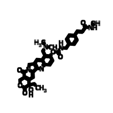 CC[C@@]1(O)C(=O)OCc2c1cc1n(c2=O)Cc2cc3c(CN(C)C)c(OC(=O)NCc4ccc(/C=C/C(=O)NO)cc4)ccc3nc2-1